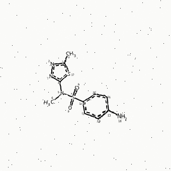 Cc1nnc(N(C)S(=O)(=O)c2ccc(N)cc2)s1